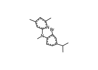 Cc1cc(C)nc(N(C)c2ccc(C(C)C)cc2Br)c1